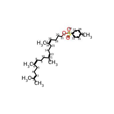 CC(C)=CCCC(C)=CCCC(C)=CCCC(C)=CCCCOS(=O)(=O)c1ccc(C)cc1